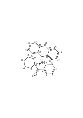 O=C(c1ccccc1)C1(O)CCCCC1.c1ccc2c(c1)Cc1ccccc1S2